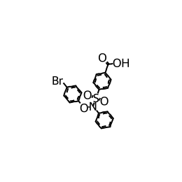 O=C(O)c1ccc(S(=O)(=O)N(Oc2ccc(Br)cc2)c2ccccc2)cc1